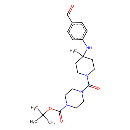 CC1(Nc2ccc(C=O)cc2)CCN(C(=O)N2CCN(C(=O)OC(C)(C)C)CC2)CC1